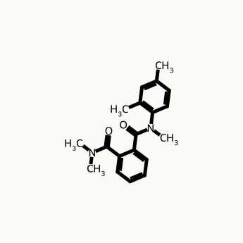 Cc1ccc(N(C)C(=O)c2ccccc2C(=O)N(C)C)c(C)c1